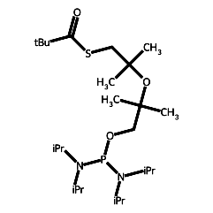 CC(C)N(C(C)C)P(OCC(C)(C)OC(C)(C)CSC(=O)C(C)(C)C)N(C(C)C)C(C)C